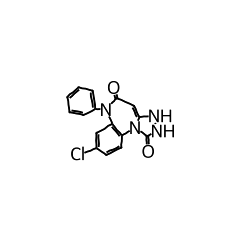 O=C1NNC2=CC(=O)N(c3ccccc3)c3cc(Cl)ccc3N12